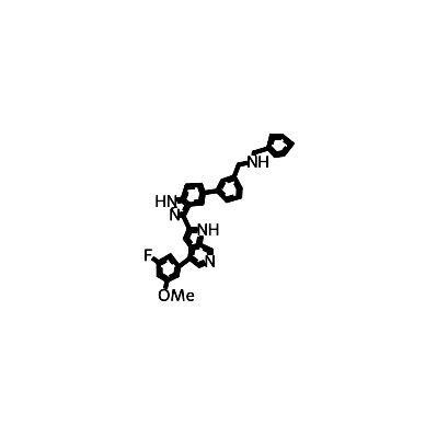 COc1cc(F)cc(-c2cncc3[nH]c(-c4n[nH]c5ccc(-c6cccc(CNCc7ccccc7)c6)cc45)cc23)c1